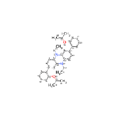 CCN1c2ccc(-c3ccccc3OC(C)C)cc2N(CC)c2ccc(-c3ccccc3OC(C)C)cc21